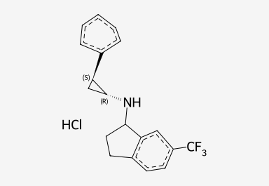 Cl.FC(F)(F)c1ccc2c(c1)C(N[C@@H]1C[C@H]1c1ccccc1)CC2